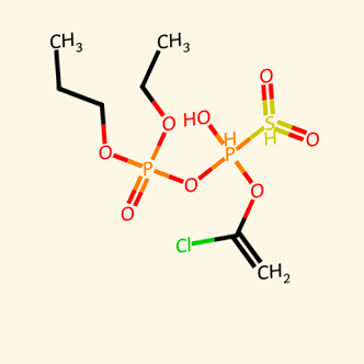 C=C(Cl)O[PH](O)(OP(=O)(OCC)OCCC)[SH](=O)=O